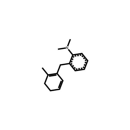 CC1=C(Cc2ccccc2N(C)C)C=CCC1